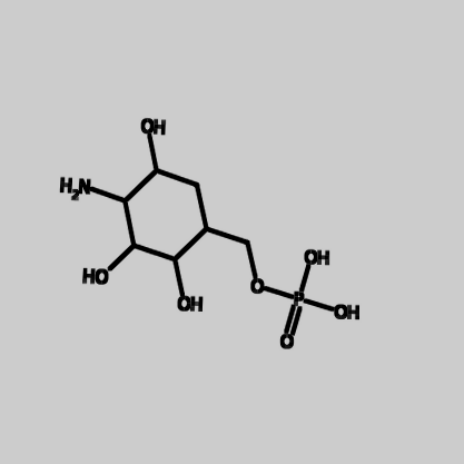 NC1C(O)CC(COP(=O)(O)O)C(O)C1O